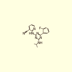 CC(C)Nc1nc(Nc2ncccc2C#N)nc(-c2ccccc2F)n1